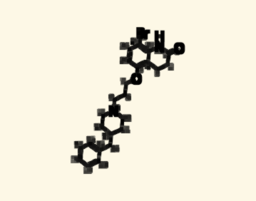 O=C1CCc2c(OCCCN3CCC(Cc4ccccc4)CC3)ccc(Br)c2N1